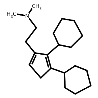 CN(C)CCC1=CCC(C2CCCCC2)=C1C1CCCCC1